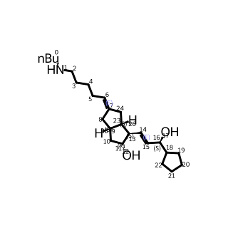 CCCCNCCCC/C=C1\C[C@H]2C[C@@H](O)[C@H](/C=C/[C@@H](O)C3CCCC3)[C@H]2C1